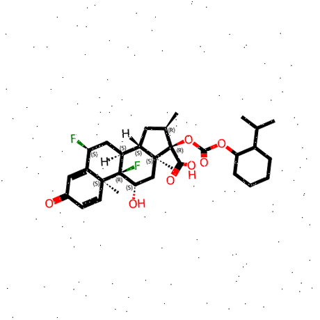 CC(C)C1CCCCC1OC(=O)O[C@]1(C(=O)O)[C@H](C)C[C@H]2[C@@H]3C[C@H](F)C4=CC(=O)C=C[C@]4(C)[C@@]3(F)[C@@H](O)C[C@@]21C